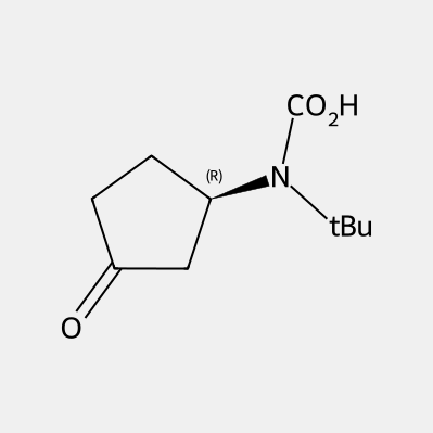 CC(C)(C)N(C(=O)O)[C@@H]1CCC(=O)C1